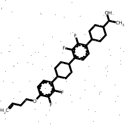 C=CCCOc1ccc(C2CCC(c3ccc(C4CCC(C(C)O)CC4)c(F)c3F)CC2)c(F)c1F